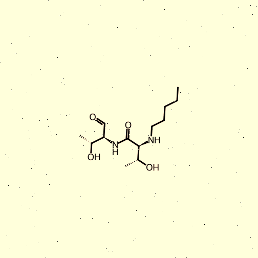 CCCCCN[C@H](C(=O)N[C@H]([C]=O)[C@@H](C)O)[C@@H](C)O